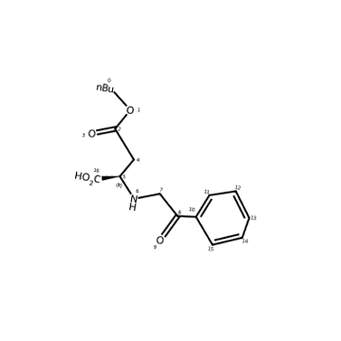 CCCCOC(=O)C[C@@H](NCC(=O)c1ccccc1)C(=O)O